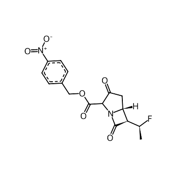 C[C@H](F)[C@H]1C(=O)N2C(C(=O)OCc3ccc([N+](=O)[O-])cc3)C(=O)C[C@H]12